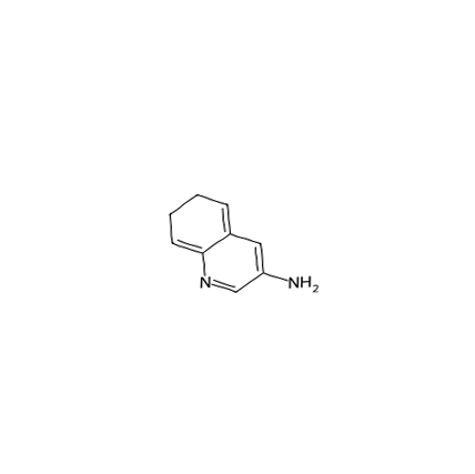 Nc1cnc2c(c1)=CCCC=2